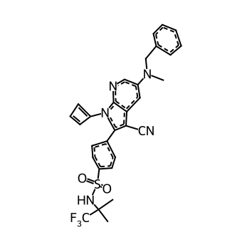 CN(Cc1ccccc1)c1cnc2c(c1)c(C#N)c(-c1ccc(S(=O)(=O)NC(C)(C)C(F)(F)F)cc1)n2C1=CC=C1